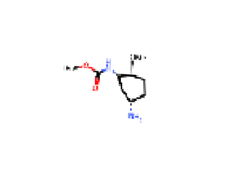 CO[C@H]1CC[C@H](N)C[C@@H]1NC(=O)OC(C)(C)C